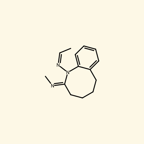 C/C=N\N1/C(=N\C)CCCCc2ccccc21